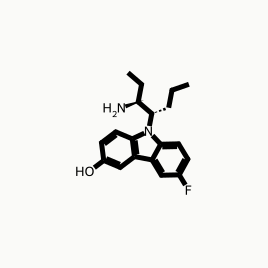 CCC[C@@H]([C@@H](N)CC)n1c2ccc(O)cc2c2cc(F)ccc21